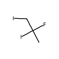 CC(F)(I)CI